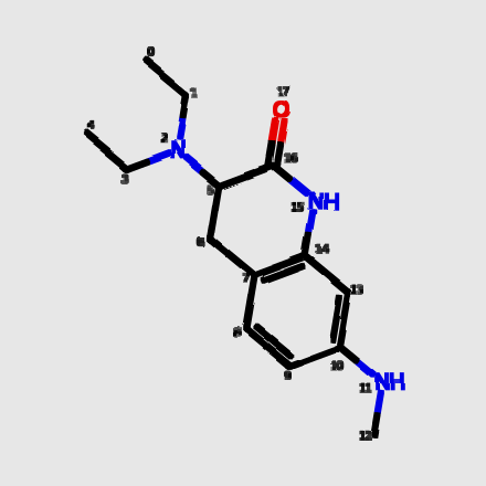 CCN(CC)C1Cc2ccc(NC)cc2NC1=O